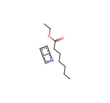 CCCCCCC(=O)OCC.c1cc2ncc1-2